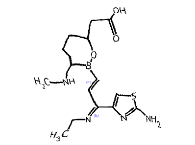 CC/N=C(\C=C\B1OC(CC(=O)O)CCC1NC)c1csc(N)n1